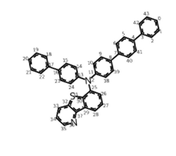 c1ccc(-c2ccc(-c3ccc(N(c4ccc(-c5ccccc5)cc4)c4cccc5c4sc4cccnc45)cc3)cc2)cc1